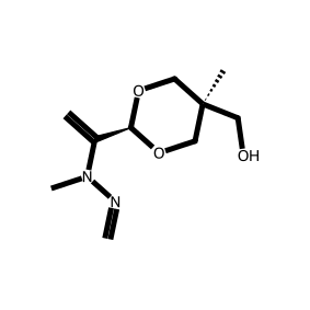 C=NN(C)C(=C)[C@H]1OC[C@@](C)(CO)CO1